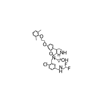 Cc1cccc(C)c1OCCOc1ccc(C2=C(C(=O)N(Cc3cc(CNCC(F)F)ccc3Cl)C3CC3)[C@@H](CO)NCC2)cc1